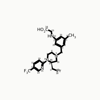 Cc1cc(CN2CCN(c3ccc(C(F)(F)F)cn3)[C@H](CC(C)C)C2)cc(NCC(=O)O)c1